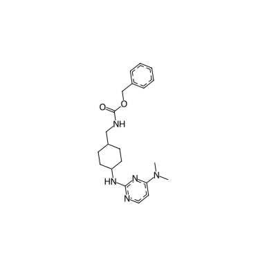 CN(C)c1ccnc(NC2CCC(CNC(=O)OCc3ccccc3)CC2)n1